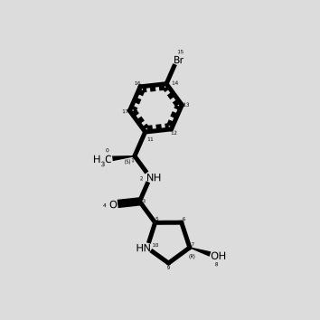 C[C@H](NC(=O)C1C[C@@H](O)CN1)c1ccc(Br)cc1